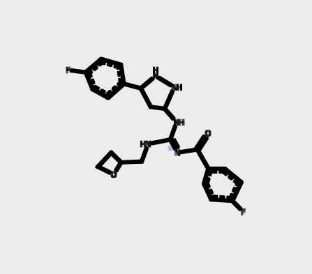 O=C(/N=C(/NCC1CCO1)NC1CC(c2ccc(F)cc2)NN1)c1ccc(F)cc1